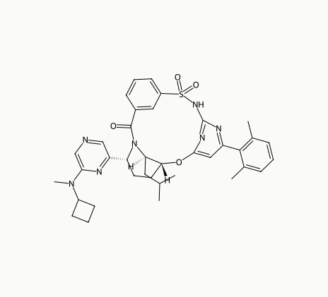 Cc1cccc(C)c1-c1cc2nc(n1)NS(=O)(=O)c1cccc(c1)C(=O)N1[C@@H](c3cncc(N(C)C4CCC4)n3)CC[C@@H](O2)[C@H]1CC(C)C